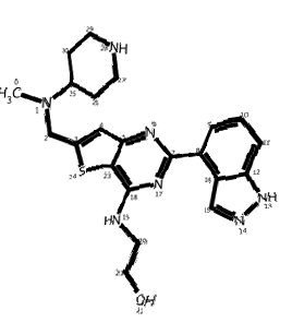 CN(Cc1cc2nc(-c3cccc4[nH]ncc34)nc(NCCO)c2s1)C1CCNCC1